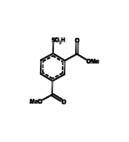 COC(=O)c1ccc(S(=O)(=O)O)c(C(=O)OC)c1